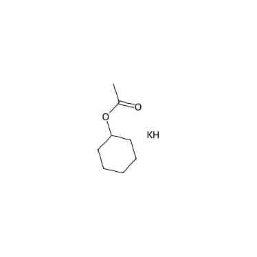 CC(=O)OC1CCCCC1.[KH]